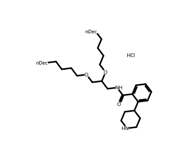 CCCCCCCCCCCCCCOCC(CNC(=O)c1ccccc1C1CCNCC1)OCCCCCCCCCCCCCC.Cl